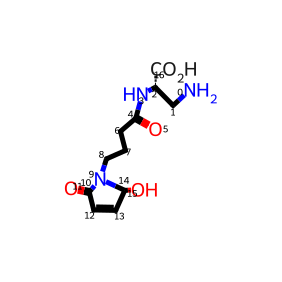 NC[C@H](NC(=O)CCCN1C(=O)C=CC1O)C(=O)O